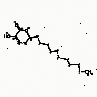 CCCCCCCCCCCC1CC=C(O)C(=O)O1